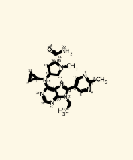 CCn1c(-c2cnc(C)nc2)nc2c(N(C3CC3)C3C[C@H](C(N)=O)N(C)C3)ncnc21